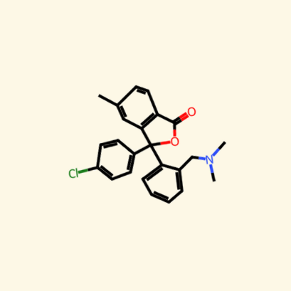 Cc1ccc2c(c1)C(c1ccc(Cl)cc1)(c1ccccc1CN(C)C)OC2=O